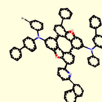 CC(C)c1cccc(N(c2ccc(-c3ccccc3)cc2)c2cc3oc4c(-c5cccc(-c6cccc7ccccc67)n5)ccc5c6cc(N(c7ccccc7)c7cccc(-c8ccccc8)c7)cc7oc8c(-c9ccccc9)ccc(c(c2)c3c45)c8c76)c1